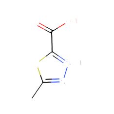 Cc1nnc(C(=O)O)s1.[Li]